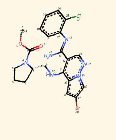 CC(C)(C)OC(=O)N1CCC[C@H]1CNc1c(/C(N)=N/c2ccccc2Cl)cnn2cc(Br)cc12